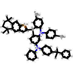 CC(C)(C)c1ccc(N2c3ccc(C(C)(C)C)cc3B(c3cc4cc5c(cc4s3)C(C)(C)CCC5(C)C)c3ccc(N(c4ccccc4)c4ccc(C(C)(C)c5ccccc5)cc4)cc32)cc1